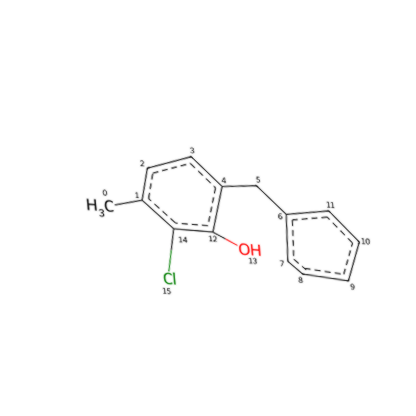 Cc1ccc(Cc2ccccc2)c(O)c1Cl